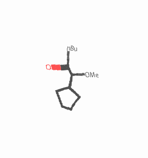 CCCCC(=O)C(OC)C1CCCC1